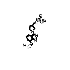 COc1cccc2c(N3CCC(COO[PH](=O)O)C3)ncnc12